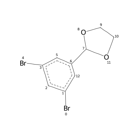 Brc1cc(Br)cc(C2OCCO2)c1